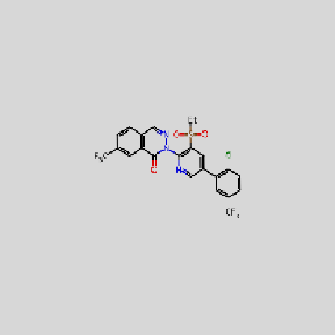 CCS(=O)(=O)c1cc(-c2cc(C(F)(F)F)ccc2Cl)cnc1-n1ncc2ccc(C(F)(F)F)cc2c1=O